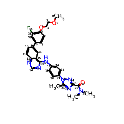 COCCOc1ccc(-c2ccc3ncnc(Nc4ccc(-n5nc(C(=O)N(C)C)nc5C)cc4)c3c2)cc1F